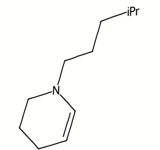 CC(C)CCCN1C=CCCC1